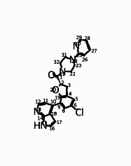 O=C([C@H]1Cc2cc(Cl)cc(-c3ccnc4[nH]ccc34)c2O1)N1CCN(c2ccccn2)CC1